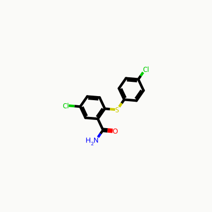 NC(=O)c1cc(Cl)ccc1Sc1ccc(Cl)cc1